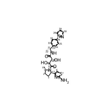 C[C@@H]1CC[C@H](c2csc(N)n2)N1C(=O)[C@H](O)[C@@H](O)C(=O)N[C@H](C)c1ccc(-n2cccn2)cc1